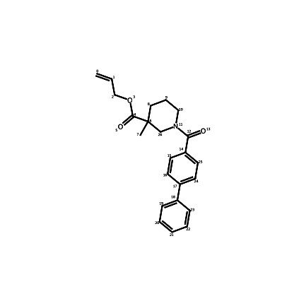 C=CCOC(=O)C1(C)CCCN(C(=O)c2ccc(-c3ccccc3)cc2)C1